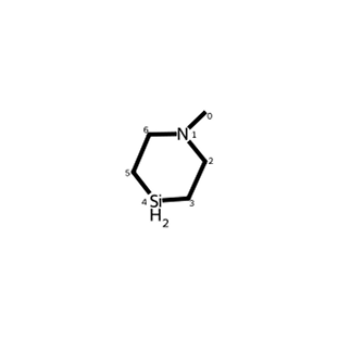 CN1CC[SiH2]CC1